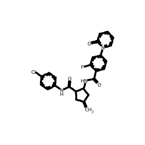 C=C1CC(NC(=O)c2ccc(-n3ccccc3=O)cc2F)C(C(=O)Nc2ccc(Cl)cc2)C1